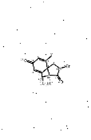 CCOC(=O)[C@@]1(C)C(=O)N(CC)CC12C(C)=CC(=O)C=C2C